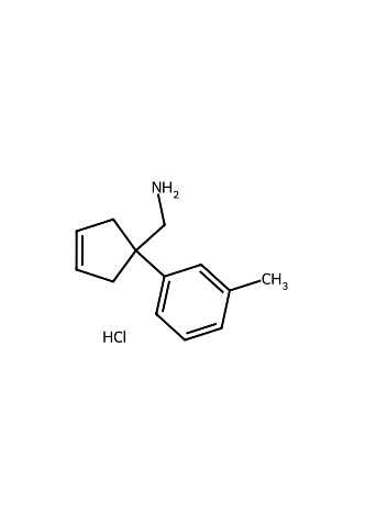 Cc1cccc(C2(CN)CC=CC2)c1.Cl